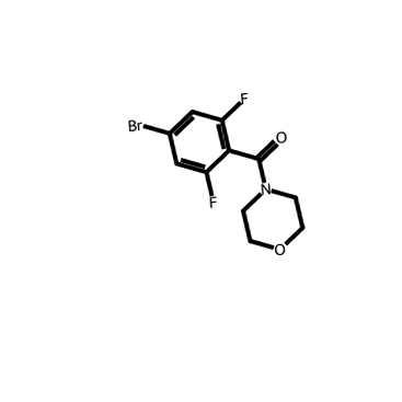 O=C(c1c(F)cc(Br)cc1F)N1CCOCC1